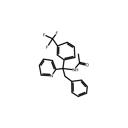 CC(=O)NC(Cc1ccccc1)(c1cccc(C(F)(F)F)c1)c1ccccn1